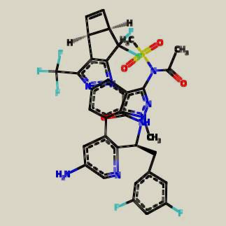 CC(=O)N(c1nn(C)c2c(-c3cc(N)cnc3[C@H](Cc3cc(F)cc(F)c3)NC(=O)Cn3nc(C(F)(F)F)c4c3C(F)(F)[C@@H]3C=C[C@H]43)cccc12)S(C)(=O)=O